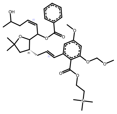 COCOc1cc(OC)cc(/C=C/C[C@@H]2CC(C)(C)OC2C(/C=C\CC(C)O)OC(=O)c2ccccc2)c1C(=O)OCC[Si](C)(C)C